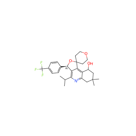 CC(C)c1nc2c(c3c1[C@@H](c1ccc(C(F)(F)F)cc1)OC31CCOCC1)C(O)CC(C)(C)C2